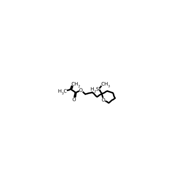 C=C(C)C(=O)OCCCC1([SiH2]C)CCCCO1